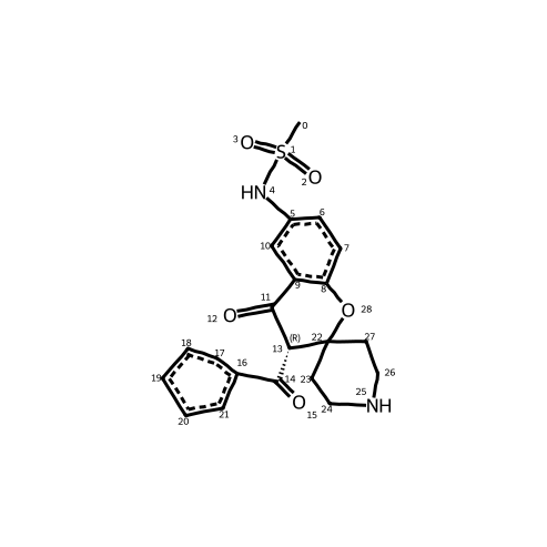 CS(=O)(=O)Nc1ccc2c(c1)C(=O)[C@@H](C(=O)c1ccccc1)C1(CCNCC1)O2